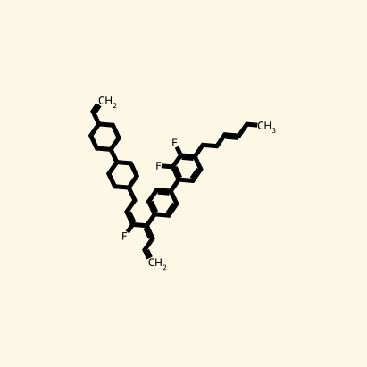 C=C/C=C(\C(F)=C/CC1CCC(C2CCC(C=C)CC2)CC1)c1ccc(-c2ccc(CC/C=C/CC)c(F)c2F)cc1